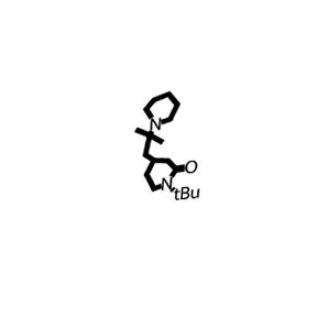 CC(C)(C)N1CCC(CC(C)(C)N2CCCCC2)CC1=O